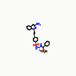 CCOC(=O)C[C@@H](NC(=O)c1ccccc1)NS(=O)(=O)c1ccc(C#Cc2nc(N)cc3ccccc23)cc1